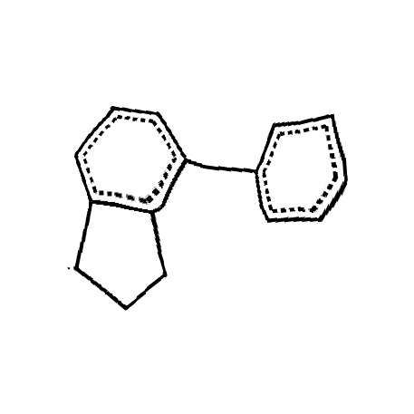 [CH]1CCc2c1cccc2-c1ccccc1